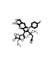 CC(C)(CC#N)c1c(C2CO[C@](C)(C(=O)O)C2)c2nc3[nH]ncc3cc2n1-c1ccc(F)cc1